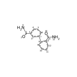 NC(=O)c1cccc(-c2cc[c]cc2C(N)=O)c1